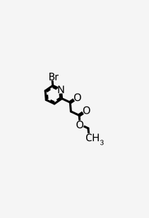 CCOC(=O)CC(=O)c1cccc(Br)n1